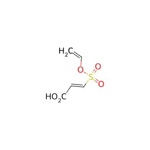 C=COS(=O)(=O)C=CC(=O)O